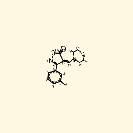 Cc1cccc(C2=NOC(=O)/C2=C\N2CCOCC2)c1